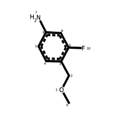 COCc1ccc(N)cc1F